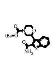 CC(C)(C)OC(=O)N1CCOC(c2c(C(N)=O)sc3ccccc23)C1